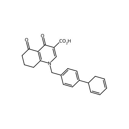 O=C(O)c1cn(Cc2ccc(C3C=CC=CC3)cc2)c2c(c1=O)C(=O)CCC2